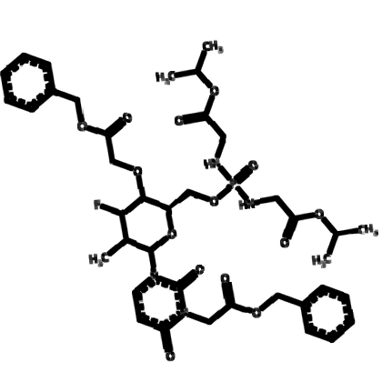 CC(C)OC(=O)CNP(=O)(NCC(=O)OC(C)C)OC[C@H]1OC(n2ccc(=O)n(CC(=O)OCc3ccccc3)c2=O)C(C)C(F)C1OCC(=O)OCc1ccccc1